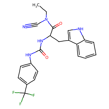 CCN(C#N)C(=O)C(Cc1c[nH]c2ccccc12)NC(=O)Nc1ccc(C(F)(F)F)cc1